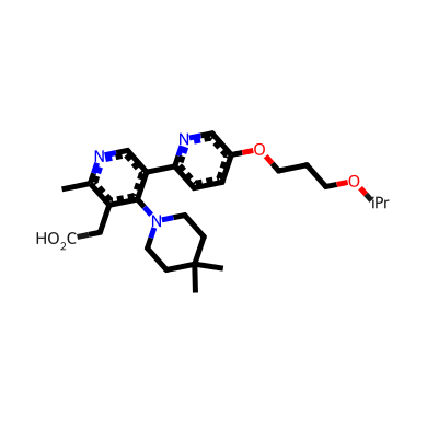 Cc1ncc(-c2ccc(OCCCOC(C)C)cn2)c(N2CCC(C)(C)CC2)c1CC(=O)O